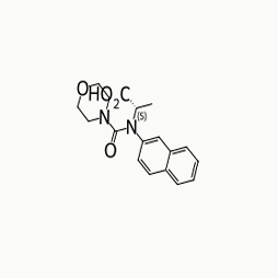 C[C@@H](C(=O)O)N(C(=O)N1CCOCC1)c1ccc2ccccc2c1